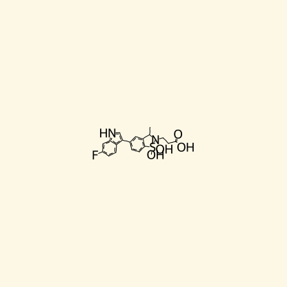 CC1c2cc(-c3c[nH]c4cc(F)ccc34)ccc2S(O)(O)N1CCC(=O)O